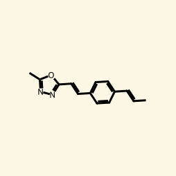 CC=Cc1ccc(C=Cc2nnc(C)o2)cc1